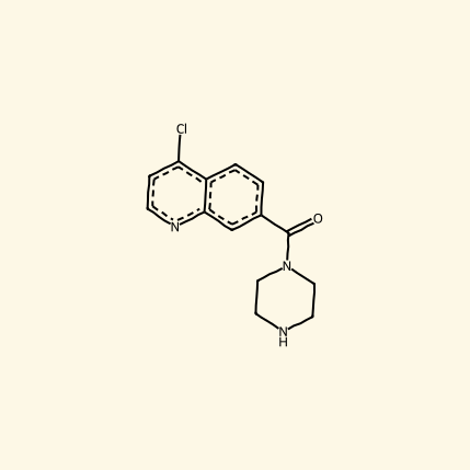 O=C(c1ccc2c(Cl)ccnc2c1)N1CCNCC1